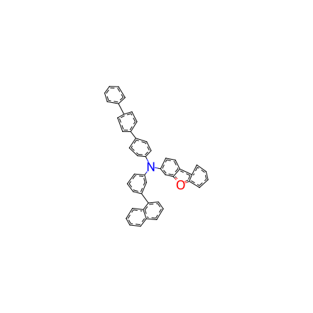 c1ccc(-c2ccc(-c3ccc(N(c4cccc(-c5cccc6ccccc56)c4)c4ccc5c(c4)oc4ccccc45)cc3)cc2)cc1